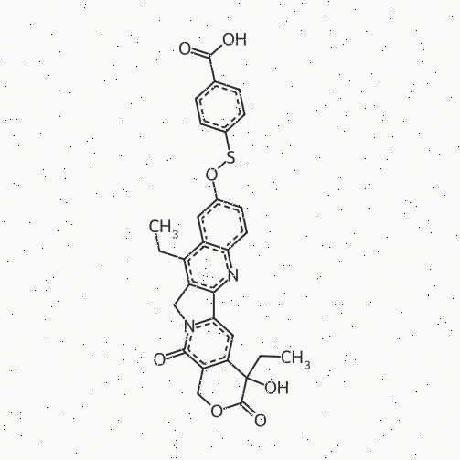 CCc1c2c(nc3ccc(OSc4ccc(C(=O)O)cc4)cc13)-c1cc3c(c(=O)n1C2)COC(=O)C3(O)CC